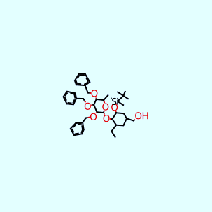 CCC1CC(CO)CC(O[Si](C)(C)C(C)(C)C)C1O[C@@H]1OC(C)[C@@H](OCc2ccccc2)C(OCc2ccccc2)C1OCc1ccccc1